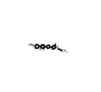 C=CCCOc1ccc(C2CCC(c3ccc(C4CCC(OCCCC)CC4)c(F)c3F)CC2)cc1F